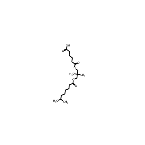 CC(C)CCCCCC(=O)OCC(C)(C)COC(=O)CCCCC(=O)O